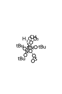 CC(C)(C)c1ccc(N2c3ccc(C(C)(C)C)cc3B3c4sc5cc6c(cc5c4N(c4ccc(C(C)(C)C)cc4)c4cc(-c5ccc7sc8ccccc8c7c5)cc2c43)-c2ccccc2C6(C)C)cc1